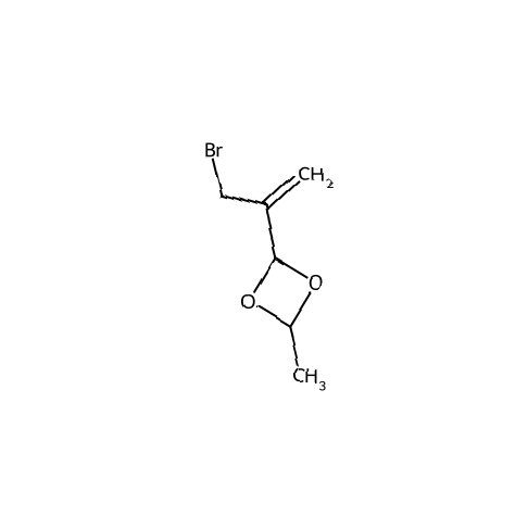 C=C(CBr)C1OC(C)O1